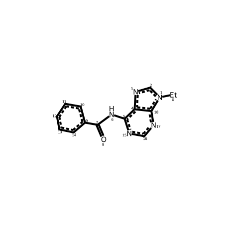 CCn1cnc2c(NC(=O)c3ccccc3)ncnc21